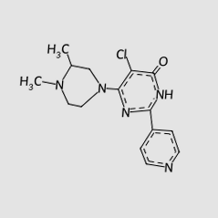 CC1CN(c2nc(-c3ccncc3)[nH]c(=O)c2Cl)CCN1C